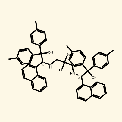 CCC(CC)(CN[C@@H](c1cccc2ccccc12)C(O)(c1ccc(C)cc1)c1ccc(C)cc1)CN[C@@H](c1cccc2ccccc12)C(O)(c1ccc(C)cc1)c1ccc(C)cc1